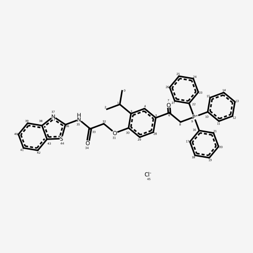 CC(C)c1cc(C(=O)C[P+](c2ccccc2)(c2ccccc2)c2ccccc2)ccc1OCC(=O)Nc1nc2ccccc2s1.[Cl-]